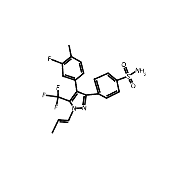 CC=Cn1nc(-c2ccc(S(N)(=O)=O)cc2)c(-c2ccc(C)c(F)c2)c1C(F)(F)F